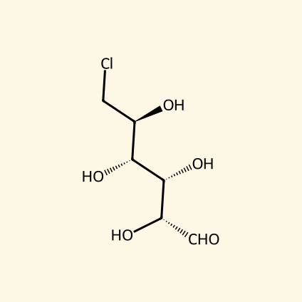 O=C[C@H](O)[C@@H](O)[C@H](O)[C@H](O)CCl